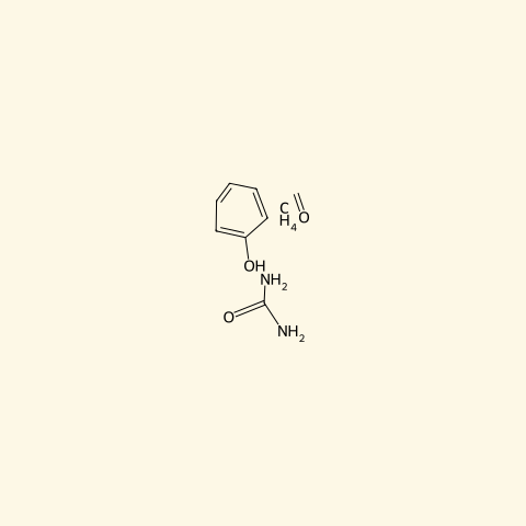 C.C=O.NC(N)=O.Oc1ccccc1